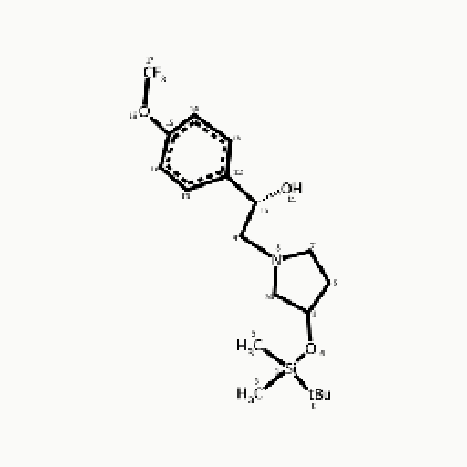 CC(C)(C)[Si](C)(C)OC1CCN(C[C@@H](O)c2ccc(OC(F)(F)F)cc2)C1